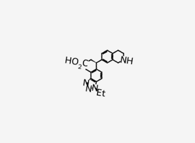 CCn1nnc2c(C)c([C@@H](CC(=O)O)c3ccc4c(c3)CNCC4)ccc21